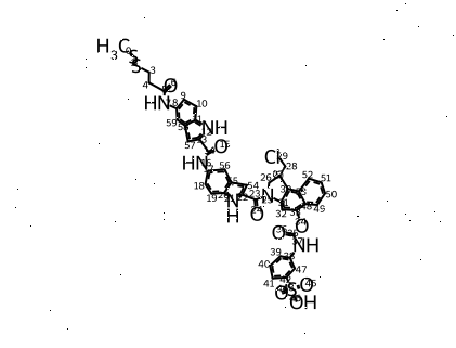 CSSCCC(=O)Nc1ccc2[nH]c(C(=O)Nc3ccc4[nH]c(C(=O)N5C[C@@H](CCl)c6c5cc(OC(=O)Nc5cccc(S(=O)(=O)O)c5)c5ccccc65)cc4c3)cc2c1